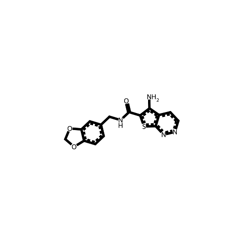 Nc1c(C(=O)NCc2ccc3c(c2)OCO3)sc2nnccc12